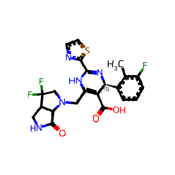 Cc1c(F)cccc1[C@@H]1N=C(c2nccs2)NC(CN2CC(F)(F)C3CNC(=O)C32)=C1C(=O)O